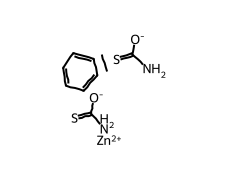 CC.NC([O-])=S.NC([O-])=S.[Zn+2].c1ccccc1